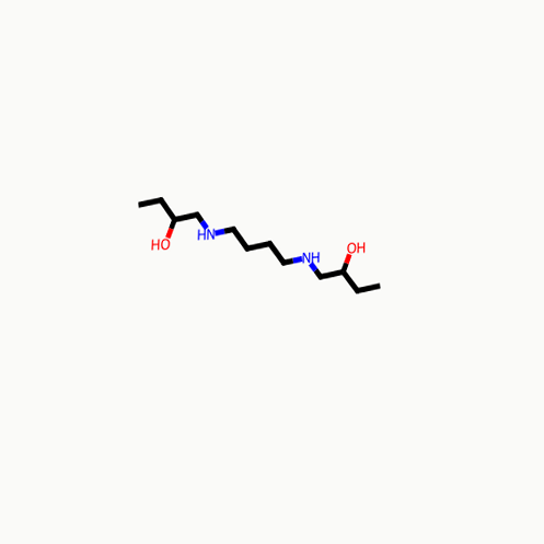 CCC(O)CNCCCCNCC(O)CC